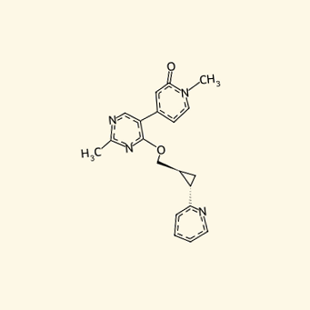 Cc1ncc(-c2ccn(C)c(=O)c2)c(OC[C@H]2C[C@@H]2c2ccccn2)n1